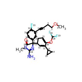 COCCC#Cc1cc([C@@]2(C3C=C(C4CC4)C(OC(F)F)=CC3)N=C(N)N(C)C2=O)ccc1F